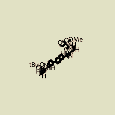 COC(=O)NC(C(=O)N1[C@@H]2C[C@@H]2C[C@H]1c1ncc(-c2ccc3cc(-c4ccc5nc([C@@H]6C[C@H]7C[C@H]7N6C(=O)OC(C)(C)C)[nH]c5c4)ccc3c2)[nH]1)C1CCOCC1